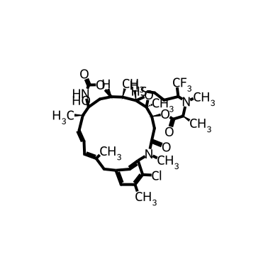 C/C1=C\C=C\[C@@H](C)[C@@]2(O)C[C@H](OC(=O)N2)[C@@H](C)[C@@H]2O[C@@]2(C)[C@@H](OC(=O)[C@H](C)N(C)C(CCS)C(F)(F)F)CC(=O)N(C)c2cc(cc(C)c2Cl)C1